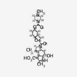 Cc1[nH]c2c(O)cc3c(c2c1C(=O)O)[C@H](CCl)CN3C(=O)c1cc2cc(OC(=O)N3CCN(C)CC3)ccc2o1